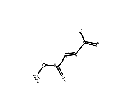 C=C(C)C=CC(=O)OCC